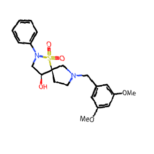 COc1cc(CN2CC[C@@]3(C2)[C@@H](O)CN(c2ccccc2)S3(=O)=O)cc(OC)c1